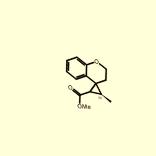 COC(=O)C1[C@H](C)C12CCOc1ccccc12